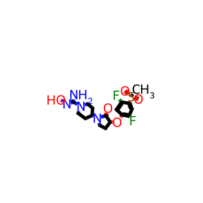 CS(=O)(=O)c1cc(F)c(OC2CCN(C3CCN(C(N)=NO)CC3)C2=O)cc1F